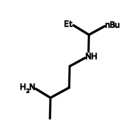 CCCCC(CC)NCCC(C)N